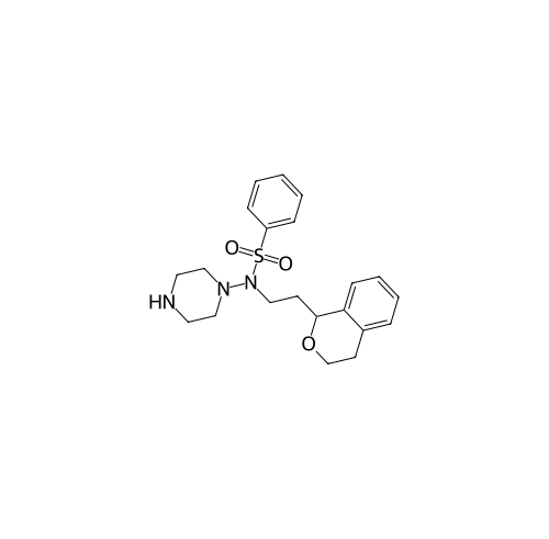 O=S(=O)(c1ccccc1)N(CCC1OCCc2ccccc21)N1CCNCC1